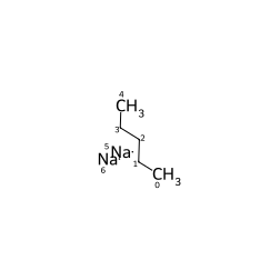 CCCCC.[Na].[Na]